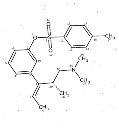 CC=C(c1cccc(OS(=O)(=O)c2ccc(C)cc2)c1)[C@@H](C)CN(C)C